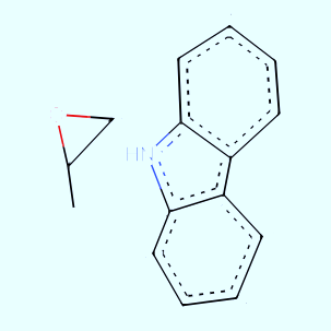 CC1CO1.c1ccc2c(c1)[nH]c1ccccc12